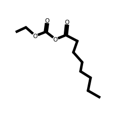 CCCCCCCC(=O)OC(=O)OCC